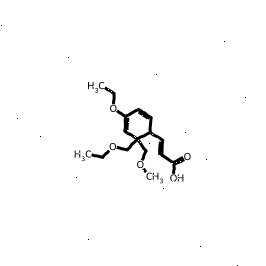 CCOCC1(COC)C=C(OCC)C=CC1C=CC(=O)O